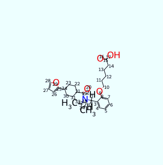 [2H]C([2H])(c1ccccc1OCCCCCC(=O)O)N(C(=O)C1CCC(c2ccco2)CC1)C(C)C